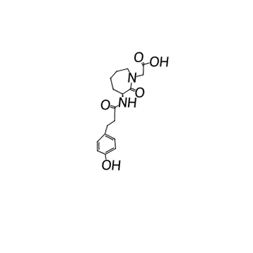 O=C(O)CN1CCCC[C@H](NC(=O)CCc2ccc(O)cc2)C1=O